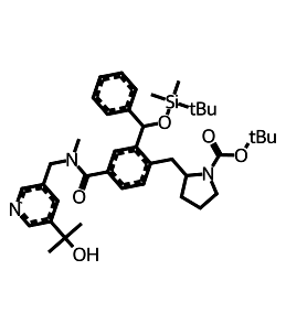 CN(Cc1cncc(C(C)(C)O)c1)C(=O)c1ccc(CC2CCCN2C(=O)OC(C)(C)C)c(C(O[Si](C)(C)C(C)(C)C)c2ccccc2)c1